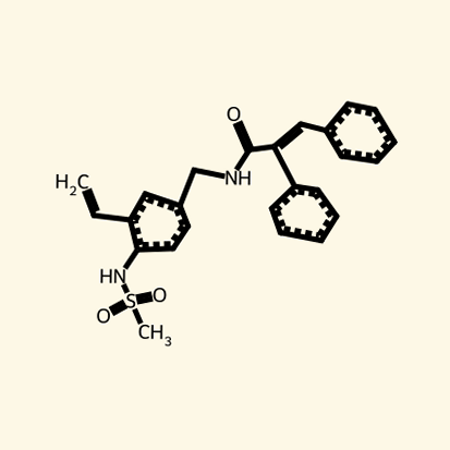 C=Cc1cc(CNC(=O)C(=Cc2ccccc2)c2ccccc2)ccc1NS(C)(=O)=O